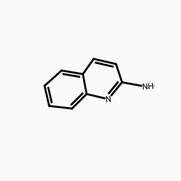 [NH]c1ccc2ccccc2n1